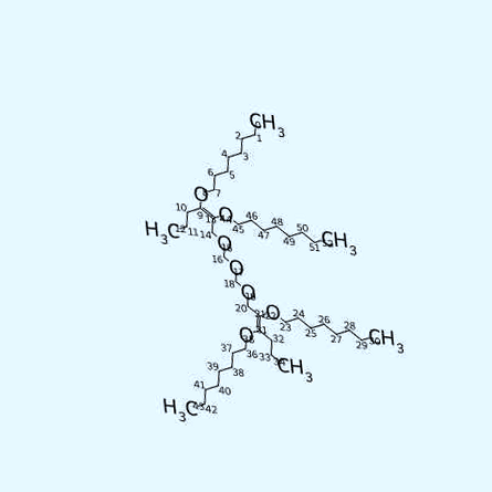 CCCCCCCCOC(CCC)=C(COCOCOCC(OCCCCCCCC)=C(CCC)OCCCCCCCC)OCCCCCCCC